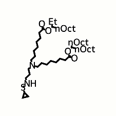 CCCCCCCCC(CC)OC(=O)CCCCCCCN(CCCCCCCC(=O)OC(CCCCCCCC)CCCCCCCC)CCCNSC1CC1